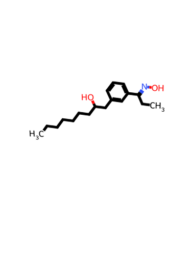 CCCCCCCC(O)Cc1cccc(C(CC)=NO)c1